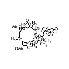 CCC1OC[C@@H](OC(=O)[C@H](C)N(C)C(=O)CCC(C)(C)SC2CC(=O)NC2=O)CC(=O)N(C)c2cc(cc(OC)c2Cl)C/C(C)=C/C=C/[C@@H](OC)[C@@]2(O)C[C@H](OC(=O)N2)[C@H]1C